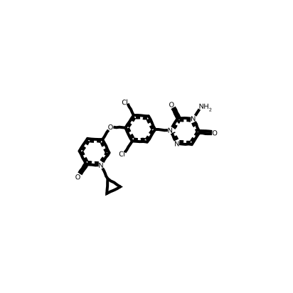 Nn1c(=O)cnn(-c2cc(Cl)c(Oc3ccc(=O)n(C4CC4)c3)c(Cl)c2)c1=O